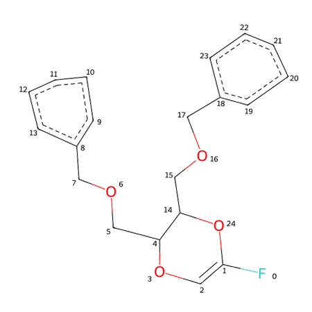 FC1=COC(COCc2ccccc2)C(COCc2ccccc2)O1